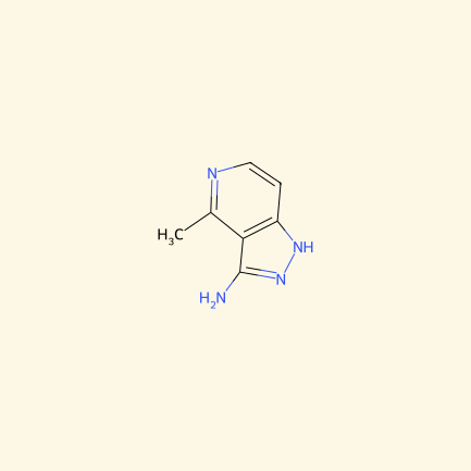 Cc1nccc2[nH]nc(N)c12